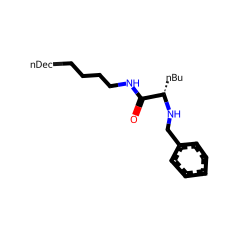 [CH2]CCC[C@H](NCc1ccccc1)C(=O)NCCCCCCCCCCCCCC